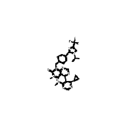 COc1ncnc(C2CC2)c1-c1ncnc2c1c(=O)n(C)c(=O)n2Cc1ccc(-c2nc(C(F)(F)F)cn2C(C)C)cc1